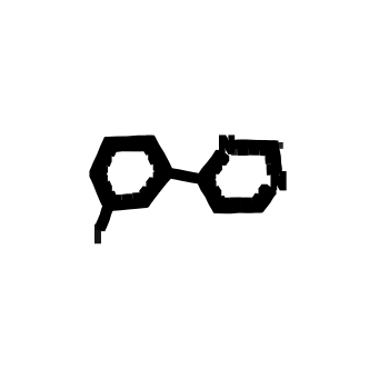 Ic1cccc(-c2ccn[c]n2)c1